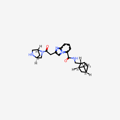 CC1(C)[C@@H]2CC[C@@H](CNC(=O)c3cccc4nc(CC(=O)N5C[C@@H]6C[C@@H]5CN6)cn34)[C@H]1C2